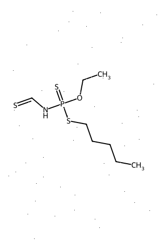 CCCCCSP(=S)(NC=S)OCC